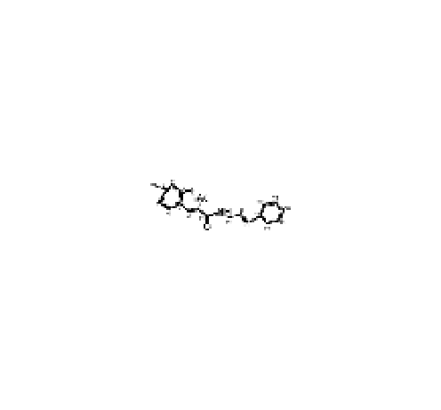 CC(=O)C(=Cc1ccc(C)cc1C)C(=O)NCC=Cc1ccccc1